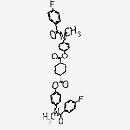 CN(C(=O)c1ccc(F)cc1)c1ccc(OC(=O)[C@H]2CC[C@H](C(=O)Oc3ccc(N(C)C(=O)c4ccc(F)cc4)cc3)CC2)cc1